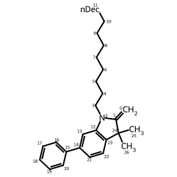 C=C1N(CCCCCCCCCCCCCCCCCC)c2cc(-c3ccccc3)ccc2C1(C)C